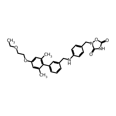 CCOCCOc1cc(C)c(-c2cccc(CNc3ccc(Cn4oc(=O)[nH]c4=O)cc3)c2)c(C)c1